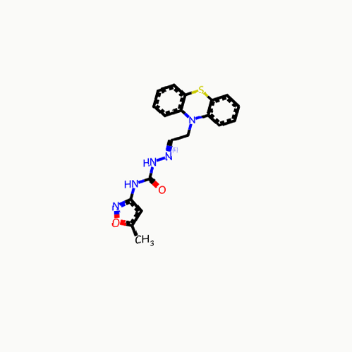 Cc1cc(NC(=O)N/N=C/CN2c3ccccc3Sc3ccccc32)no1